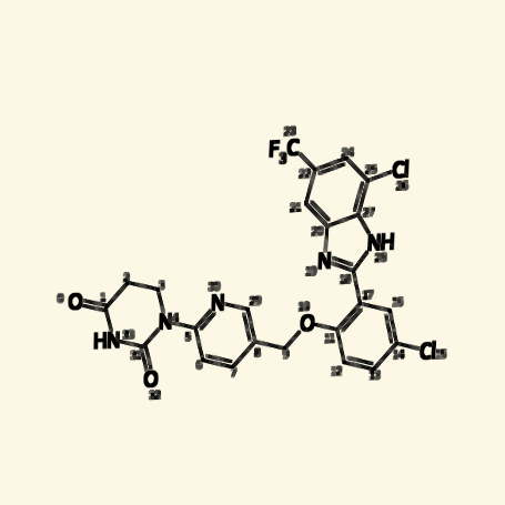 O=C1CCN(c2ccc(COc3ccc(Cl)cc3-c3nc4cc(C(F)(F)F)cc(Cl)c4[nH]3)cn2)C(=O)N1